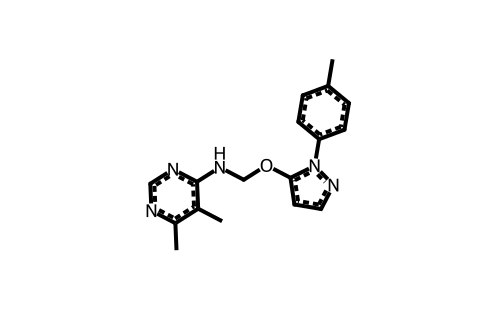 Cc1ccc(-n2nccc2OCNc2ncnc(C)c2C)cc1